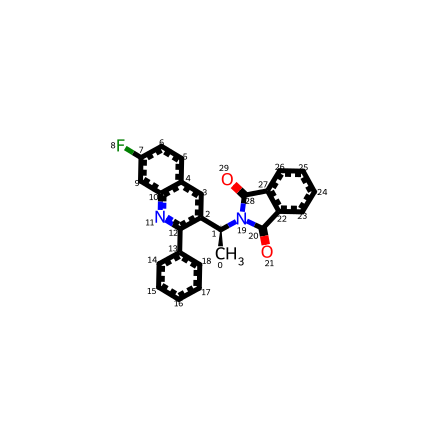 C[C@@H](c1cc2ccc(F)cc2nc1-c1ccccc1)N1C(=O)c2ccccc2C1=O